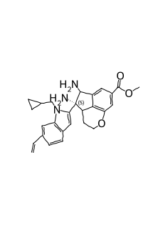 C=Cc1ccc2cc([C@@]3(N)C(N)c4cc(C(=O)OC)cc5c4C3CCO5)n(CC3CC3)c2c1